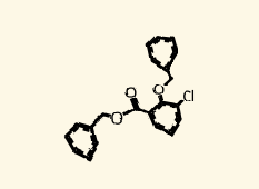 O=C(OCc1ccccc1)c1cccc(Cl)c1OCc1ccccc1